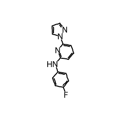 Fc1ccc(Nc2cccc(-n3cccn3)n2)cc1